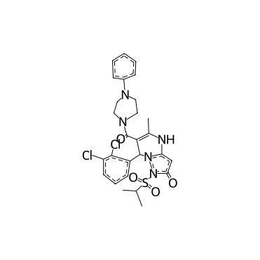 CC1=C(C(=O)N2CCN(c3ccccc3)CC2)C(c2cccc(Cl)c2Cl)n2c(cc(=O)n2S(=O)(=O)C(C)C)N1